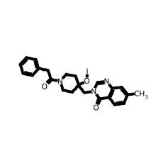 Cc1ccc2c(=O)n(CC3(OI)CCN(C(=O)Cc4ccccc4)CC3)cnc2c1